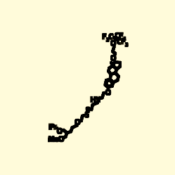 COCC(CCCOCCSSCCCNCCOc1ccc2c(c1)CCC1C2CCC2(C)C(OCCCOC(C(F)(F)F)(C(F)(F)F)C(F)(F)F)CCC12)COC(C)C